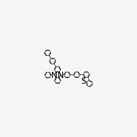 c1ccc(-c2ccc(-c3ccc4c(c3)N(c3ccccc3)c3ccccc3N4c3ccc(-c4ccc(-c5cccc6c5sc5ccccc56)cc4)cc3)cc2)cc1